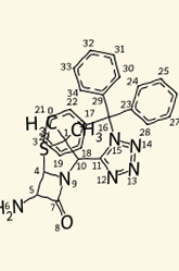 CC1(C)SC2C(N)C(=O)N2C1c1nnnn1C(c1ccccc1)(c1ccccc1)c1ccccc1